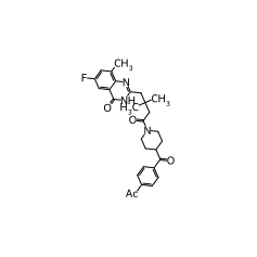 CC(=O)c1ccc(C(=O)C2CCN(C(=O)CC(C)(C)Cc3nc4c(C)cc(F)cc4c(=O)[nH]3)CC2)cc1